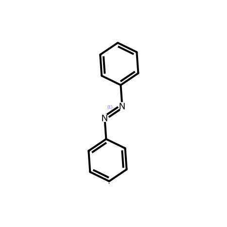 [c]1ccc(/N=N/c2ccccc2)cc1